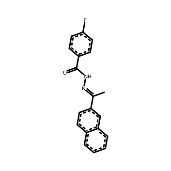 C/C(=N\NC(=O)c1ccc(F)cc1)c1ccc2ccccc2c1